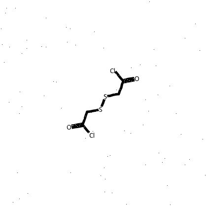 O=C(Cl)CSSCC(=O)Cl